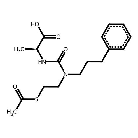 CC(=O)SCCN(CCCc1ccccc1)C(=O)N[C@@H](C)C(=O)O